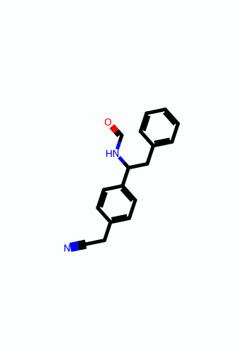 N#CCc1ccc(C(Cc2ccccc2)NC=O)cc1